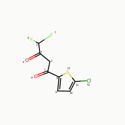 O=C(CC(=O)C(F)F)c1ccc(Cl)s1